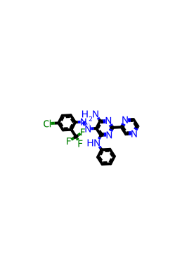 Nc1nc(-c2cnccn2)nc(Nc2ccccc2)c1/N=N/c1ccc(Cl)cc1C(F)(F)F